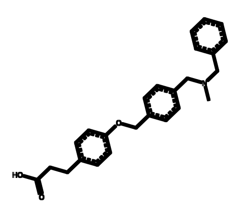 CN(Cc1ccccc1)Cc1ccc(COc2ccc(CCC(=O)O)cc2)cc1